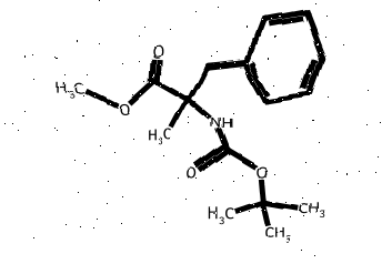 COC(=O)C(C)(Cc1ccccc1)NC(=O)OC(C)(C)C